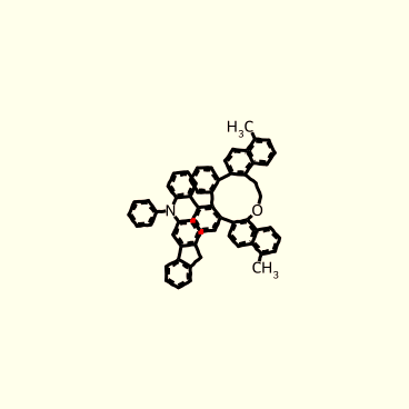 Cc1cccc2c3c(ccc12)-c1ccccc1-c1c(-c2ccccc2N(c2ccccc2)c2ccc4c(c2)-c2ccccc2C4)cccc1-c1ccc2c(C)cccc2c1OCC3